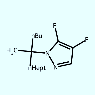 CCCCCCCC(C)(CCCC)n1ncc(F)c1F